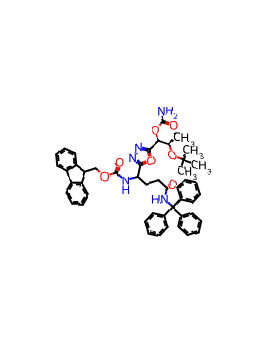 CC(OC(C)(C)C)C(OC(N)=O)c1nnc(C(CCC(=O)NC(c2ccccc2)(c2ccccc2)c2ccccc2)NC(=O)OCC2c3ccccc3-c3ccccc32)o1